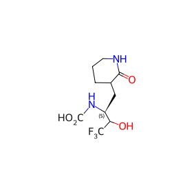 O=C(O)N[C@@H](CC1CCCNC1=O)C(O)C(F)(F)F